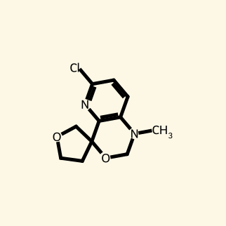 CN1COC2(CCOC2)c2nc(Cl)ccc21